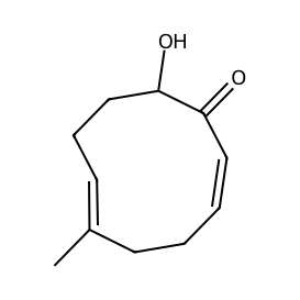 C/C1=C\CCC(O)C(=O)/C=C\CC1